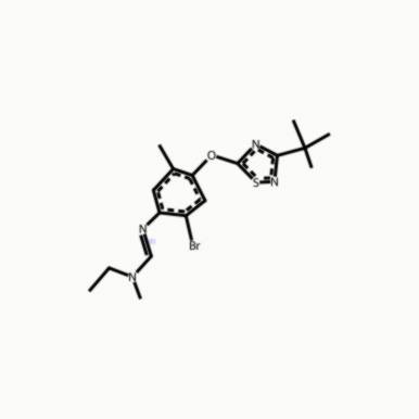 CCN(C)/C=N/c1cc(C)c(Oc2nc(C(C)(C)C)ns2)cc1Br